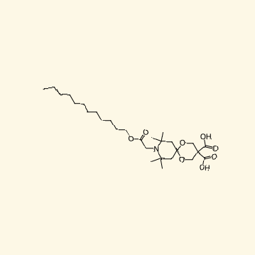 CCCCCCCCCCCCOC(=O)CN1C(C)(C)CC2(CC1(C)C)OCC(C(=O)O)(C(=O)O)CO2